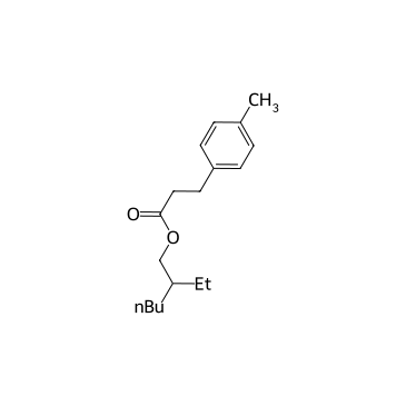 CCCCC(CC)COC(=O)CCc1ccc(C)cc1